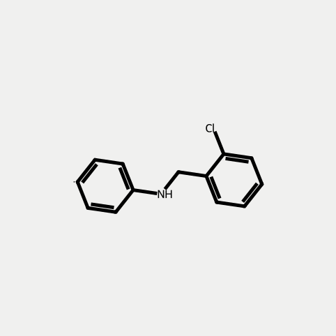 Clc1ccccc1CNc1cc[c]cc1